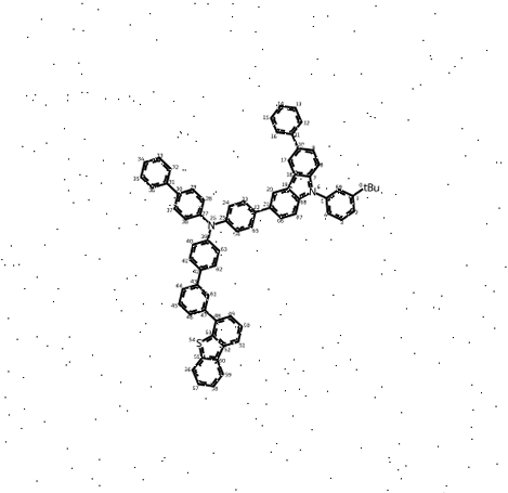 CC(C)(C)c1cccc(-n2c3ccc(-c4ccccc4)cc3c3cc(-c4ccc(N(c5ccc(-c6ccccc6)cc5)c5ccc(-c6cccc(-c7cccc8c7sc7ccccc78)c6)cc5)cc4)ccc32)c1